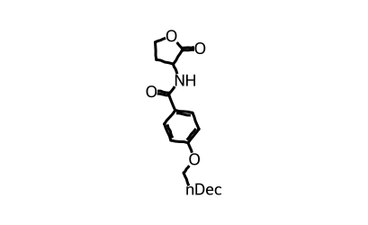 CCCCCCCCCCCOc1ccc(C(=O)NC2CCOC2=O)cc1